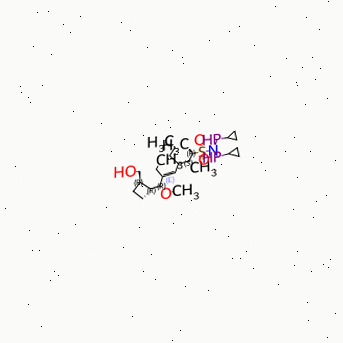 CCCC(/C=C(\CC)[C@H](OC)[C@@H]1CC[C@H]1CO)[C@H](C)[C@@H](C)S(=O)(=O)N(PC1CC1)PC1CC1